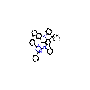 CC1(C)c2ccccc2N2c3cc4ccccc4cc3Cc3c2c1cc1c2ccccc2n(-c2nc(-c4ccccc4)nc(-c4ccccc4)n2)c31